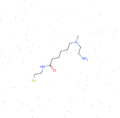 CN(CCN)CCCCCC(=O)NCCS